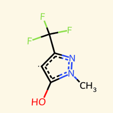 Cn1nc(C(F)(F)F)[c]c1O